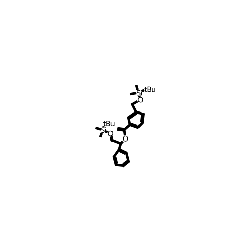 C=C(OC(CO[Si](C)(C)C(C)(C)C)c1ccccc1)c1cccc(CO[Si](C)(C)C(C)(C)C)c1